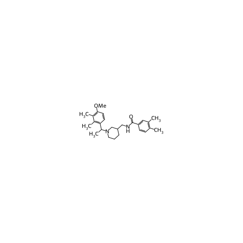 COc1ccc(C(C)N2CCCC(CNC(=O)c3ccc(C)c(C)c3)C2)c(C)c1C